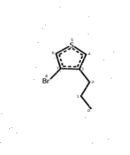 CCCc1cscc1Br